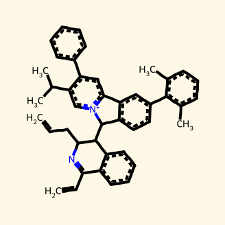 C=CCC1N=C(C=C)c2ccccc2C1C1c2ccc(-c3c(C)cccc3C)cc2-c2cc(-c3ccccc3)c(C(C)C)c[n+]21